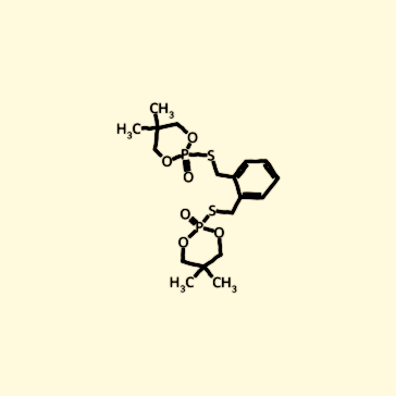 CC1(C)COP(=O)(SCc2ccccc2CSP2(=O)OCC(C)(C)CO2)OC1